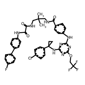 CC(C)(CNC(=O)C(=O)Nc1ccc(-c2ccc(F)cc2)cc1)CNC(=O)c1ccc(Nc2nc(NC3(c4ccc(Cl)cc4)CC3)nc(OCC(F)(F)F)n2)cc1